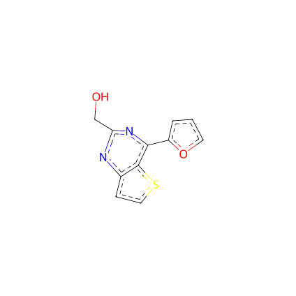 OCc1nc(-c2ccco2)c2sccc2n1